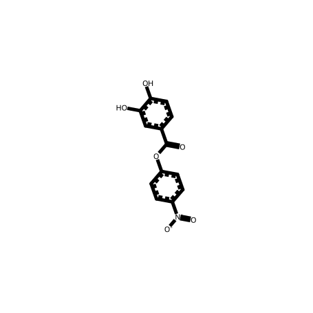 O=C(Oc1ccc([N+](=O)[O-])cc1)c1ccc(O)c(O)c1